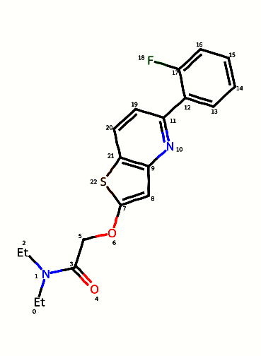 CCN(CC)C(=O)COc1cc2nc(-c3ccccc3F)ccc2s1